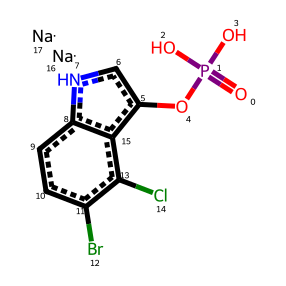 O=P(O)(O)Oc1c[nH]c2ccc(Br)c(Cl)c12.[Na].[Na]